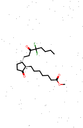 CCCCC(F)(F)C(=O)CC[C@H]1CCC(=O)[C@@H]1CCCCCCC(=O)OC